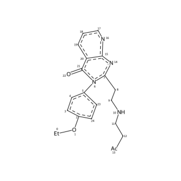 CCOc1ccc(-n2c(CCNCCC(C)=O)nc3ncccc3c2=O)cc1